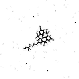 C=CC(=O)OCCCc1cc2c3c(c1)C(C)(C)c1cc(C)cc4c1N3c1c(cc(C)cc1C2(C)C)C4(C)C